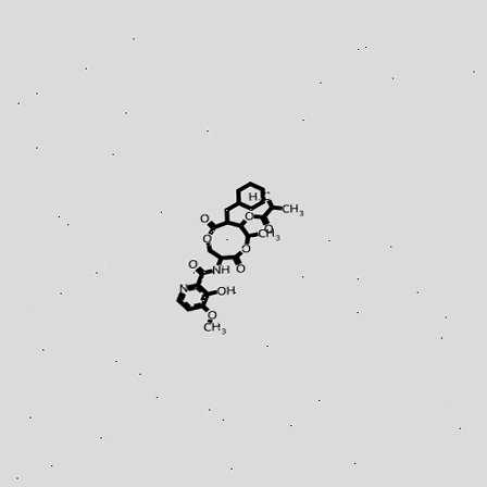 COc1ccnc(C(=O)NC2COC(=O)C(CC3CCCCC3)C(OC(=O)C(C)C)C(C)OC2=O)c1O